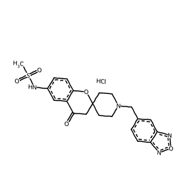 CS(=O)(=O)Nc1ccc2c(c1)C(=O)CC1(CCN(Cc3ccc4nonc4c3)CC1)O2.Cl